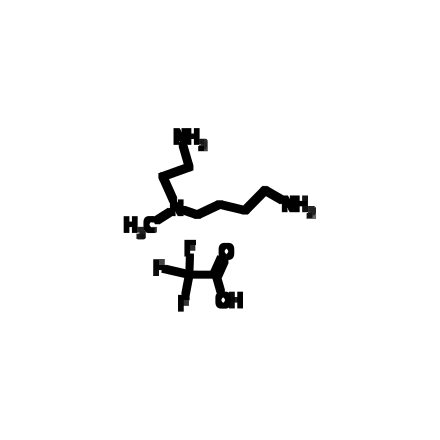 CN(CCN)CCCCN.O=C(O)C(F)(F)F